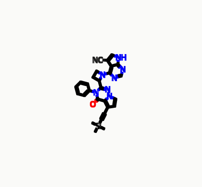 C[Si](C)(C)C#Cc1ccn2nc(C3CCN3c3ncnc4[nH]cc(C#N)c34)n(-c3ccccc3)c(=O)c12